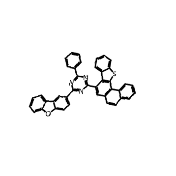 c1ccc(-c2nc(-c3ccc4oc5ccccc5c4c3)nc(-c3cc4ccc5ccccc5c4c4sc5ccccc5c34)n2)cc1